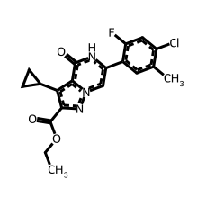 CCOC(=O)c1nn2cc(-c3cc(C)c(Cl)cc3F)[nH]c(=O)c2c1C1CC1